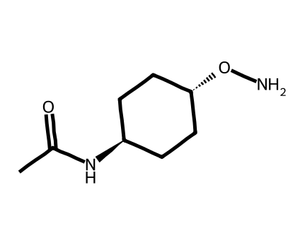 CC(=O)N[C@H]1CC[C@H](ON)CC1